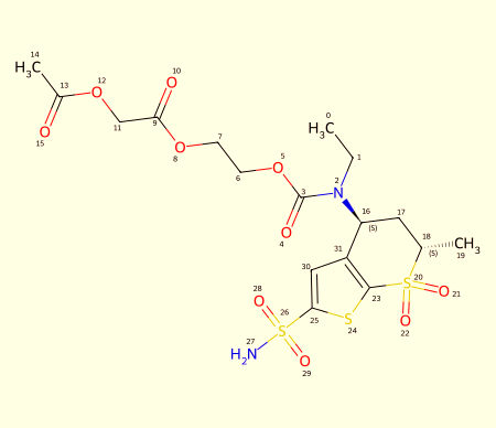 CCN(C(=O)OCCOC(=O)COC(C)=O)[C@H]1C[C@H](C)S(=O)(=O)c2sc(S(N)(=O)=O)cc21